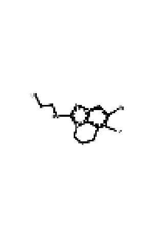 Cl.NCCNc1nc2cc(Br)c(Br)c3c2n1CCC3